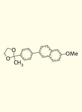 COc1ccc2cc(-c3ccc(C4(C)OCCO4)cc3)ccc2c1